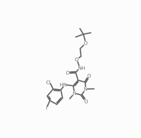 Cn1c(Nc2ccc(I)cc2Cl)c(C(=O)NOCCOC(C)(C)C)c(=O)n(C)c1=O